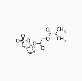 C=C(C)C(=O)OCC(=O)OC1C2=CC3C(C2)OS(=O)(=O)C13